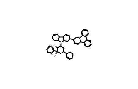 CC1C(N2C3CCC=CC3C3C=CC(C4C=CC5c6ccccc6-c6ccccc6C5C4)CC32)CC(C2C=CC=CC2)CC1(C)c1ccccc1